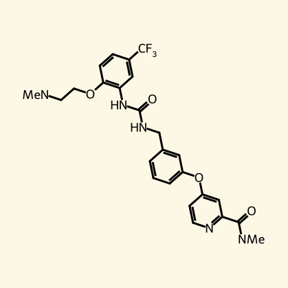 CNCCOc1ccc(C(F)(F)F)cc1NC(=O)NCc1cccc(Oc2ccnc(C(=O)NC)c2)c1